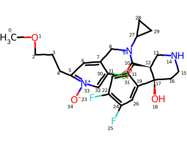 COCCCc1cc(CN(C(=O)[C@H]2CNCC[C@]2(O)c2ccc(F)c(F)c2)C2CC2)c(Cl)c[n+]1[O-]